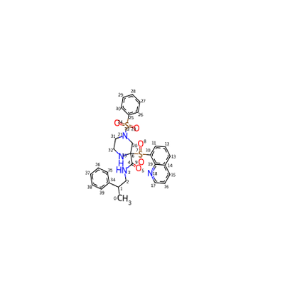 CC(CNC(=O)C1(S(=O)(=O)c2cccc3cccnc23)CN(S(=O)(=O)c2ccccc2)CCN1)c1ccccc1